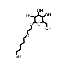 OCC1OC(OCCOCCCCCS)C(O)C(O)C1O